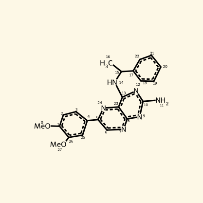 COc1ccc(-c2cnc3nc(N)nc(NC(C)c4ccccc4)c3n2)cc1OC